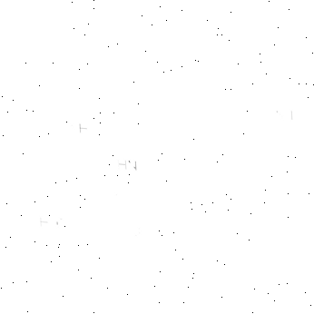 CC(CS)C(=O)NCCCCS